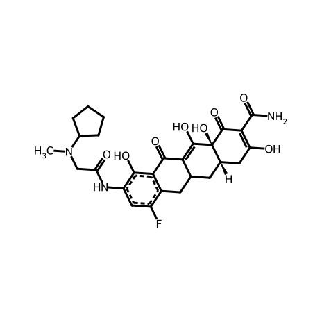 CN(CC(=O)Nc1cc(F)c2c(c1O)C(=O)C1=C(O)[C@]3(O)C(=O)C(C(N)=O)=C(O)C[C@@H]3CC1C2)C1CCCC1